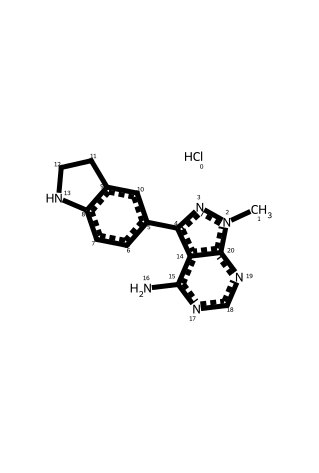 Cl.Cn1nc(-c2ccc3c(c2)CCN3)c2c(N)ncnc21